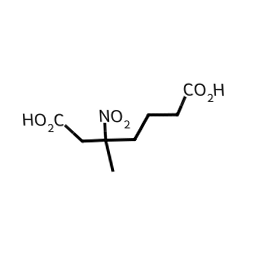 CC(CCCC(=O)O)(CC(=O)O)[N+](=O)[O-]